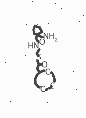 NCC1(CC(=O)NCCSCC(=O)CC2CCCCCCCCCCCCC2)CCCCC1